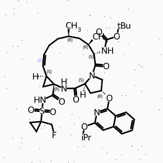 CC(C)Oc1cc2ccccc2c(O[C@@H]2C[C@H]3C(=O)N[C@]4(C(=O)NS(=O)(=O)C5(CF)CC5)C[C@H]4/C=C\CC[C@@H](C)C[C@@H](C)[C@H](NC(=O)OC(C)(C)C)C(=O)N3C2)n1